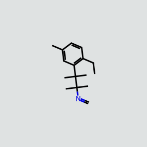 C=NC(C)(C)C(C)(C)c1cc(C)ccc1CC